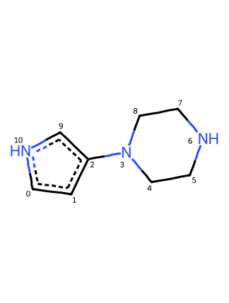 c1cc(N2CCNCC2)c[nH]1